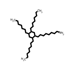 CCCCCCCCC1CC(CCCCCCCCN)C(CCCCCCCC)CC1CCCCCCC